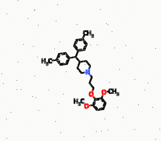 COc1cccc(OC)c1OCCCN1CCC(C(c2ccc(C)cc2)c2ccc(C)cc2)CC1